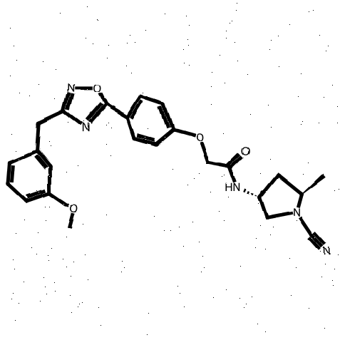 COc1cccc(Cc2noc(-c3ccc(OCC(=O)N[C@@H]4C[C@@H](C)N(C#N)C4)cc3)n2)c1